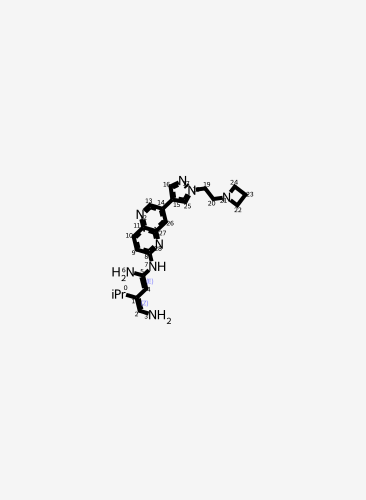 CC(C)C(=C/N)/C=C(\N)Nc1ccc2ncc(-c3cnn(CCN4CCC4)c3)cc2n1